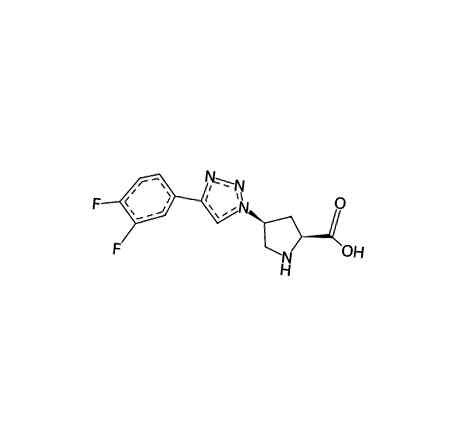 O=C(O)[C@@H]1C[C@H](n2cc(-c3ccc(F)c(F)c3)nn2)CN1